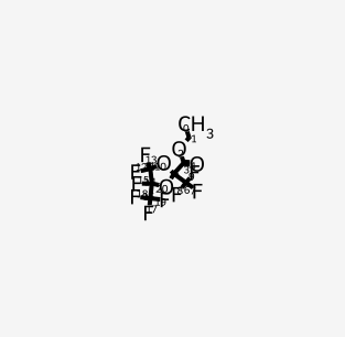 CCOC(=O)C1(C(F)(F)F)OC(F)(F)C(F)(C(F)(F)F)O1